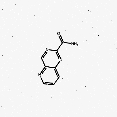 NC(=O)c1ncc2ncccc2n1